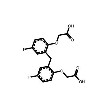 O=C(O)COc1ccc(F)cc1Cc1cc(F)ccc1OCC(=O)O